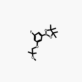 COC(C)(C)COc1cc(F)cc(B2OC(C)(C)C(C)(C)O2)c1